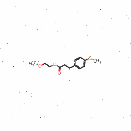 COCCOC(=O)CCc1ccc(SC)cc1